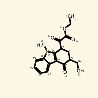 CCOC(=O)C(=O)C1CC(CO)C(=O)c2c1n(C)c1ccccc21